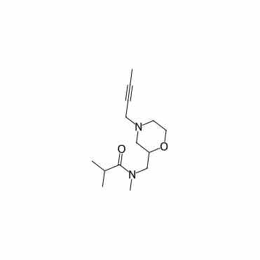 CC#CCN1CCOC(CN(C)C(=O)C(C)C)C1